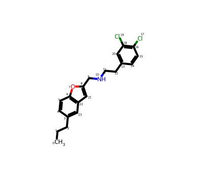 CCCc1ccc2oc(CNCCc3ccc(Cl)c(Cl)c3)cc2c1